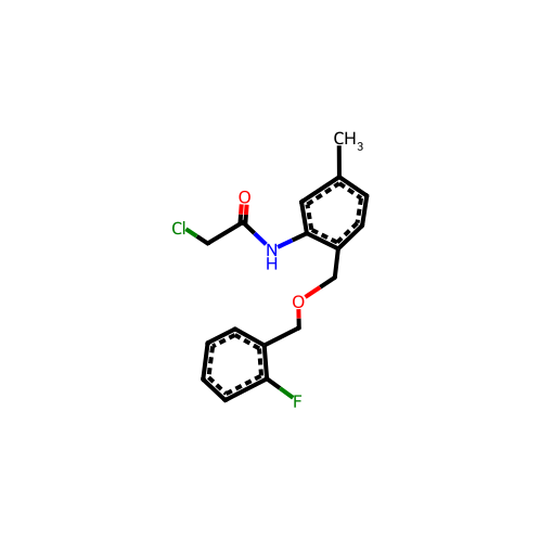 Cc1ccc(COCc2ccccc2F)c(NC(=O)CCl)c1